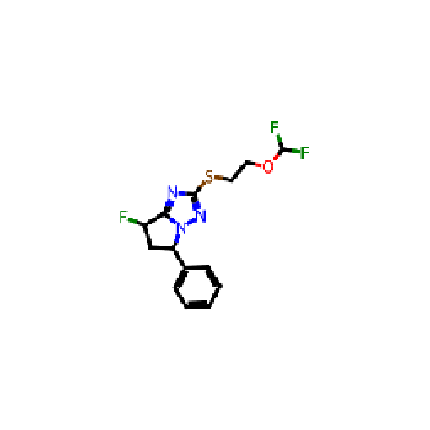 FC(F)OCCSc1nc2n(n1)C(c1ccccc1)CC2F